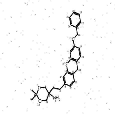 CC1(C)OCC(N)(CCc2ccc3c(c2)Sc2cc(OCc4ccccc4)ccc2C3)CO1